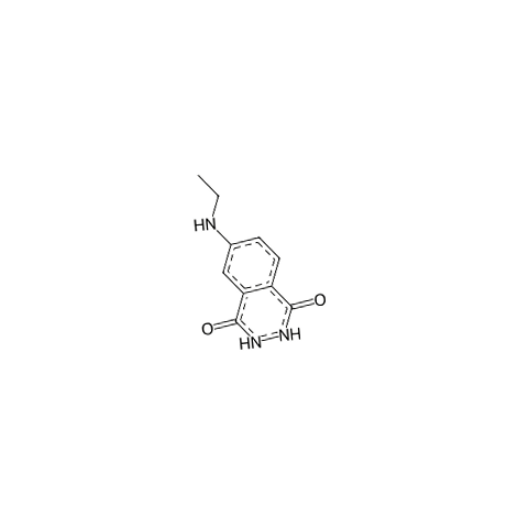 CCNc1ccc2c(=O)[nH][nH]c(=O)c2c1